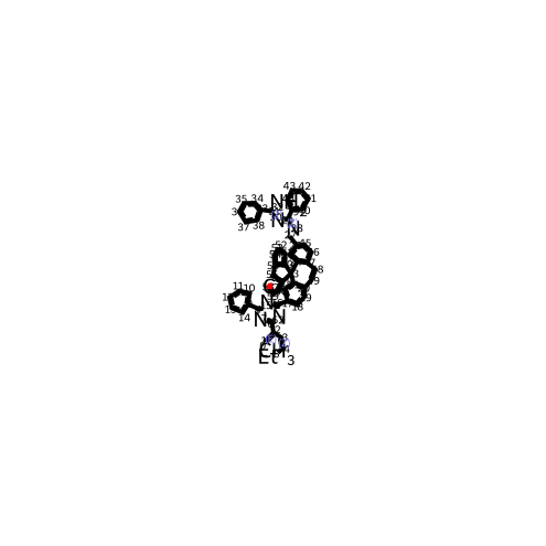 C/C=C(\C=C/CC)c1nc(-c2ccccc2)nc(-c2ccc3c(c2)C2(c4cc(C/N=C(\N=C(/N)c5ccccc5)c5ccccc5)ccc4C=C3)c3ccccc3-c3ccccc32)n1